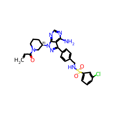 C=CC(=O)N1CCC[C@@H](n2nc(-c3ccc(CNS(=O)(=O)c4cccc(Cl)c4)cc3)c3c(N)ncnc32)C1